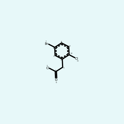 O=C(Cl)Cc1cc(Br)ccc1Cl